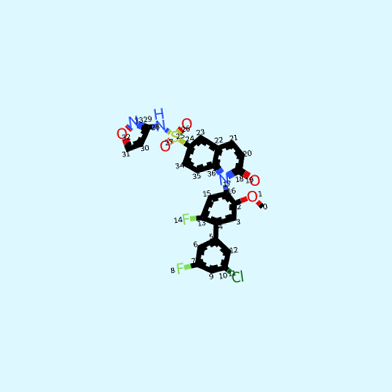 COc1cc(-c2cc(F)cc(Cl)c2)c(F)cc1-n1c(=O)ccc2cc(S(=O)(=O)Nc3ccon3)ccc21